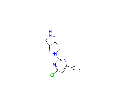 Cc1cc(Cl)nc(N2CC3CNCC3C2)n1